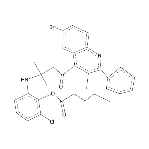 CCCCC(=O)Oc1c(Cl)cccc1NC(C)(C)CC(=O)c1c(C)c(-c2ccccc2)nc2ccc(Br)cc12